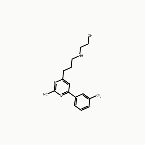 N#Cc1nc(CCCNCCO)cc(-c2cccc(C(F)(F)F)c2)n1